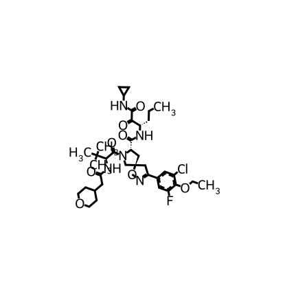 CCC[C@H](NC(=O)[C@@H]1C[C@]2(CC(c3cc(F)c(OCC)c(Cl)c3)=NO2)CN1C(=O)[C@@H](NC(=O)CC1CCOCC1)C(C)(C)C)C(=O)C(=O)NC1CC1